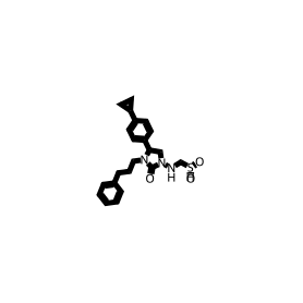 O=C1N(NC[SH](=O)=O)CC(c2ccc(C3CC3)cc2)N1CCCc1ccccc1